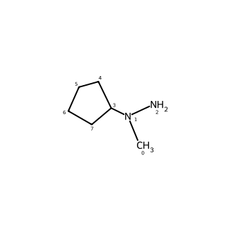 CN(N)C1CCCC1